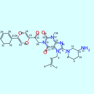 CC(C)=CCn1c(N2CCCC(N)C2)nc2c1c(=O)n(CC(=O)C1=COC(C3=CC=CCC3)=CO1)c(=O)n2C